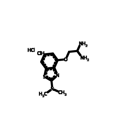 CN(C)c1nc2c(OCC(N)N)cccc2s1.Cl.Cl